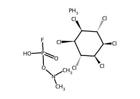 CN(C)OP(=O)(O)F.Cl[C@H]1[C@H](Cl)[C@@H](Cl)[C@@H](Cl)[C@H](Cl)[C@H]1Cl.P